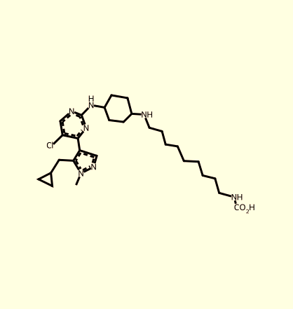 Cn1ncc(-c2nc(NC3CCC(NCCCCCCCCCNC(=O)O)CC3)ncc2Cl)c1CC1CC1